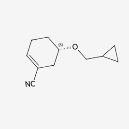 N#CC1=CCC[C@H](OCC2CC2)C1